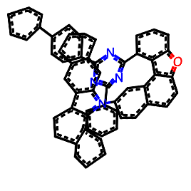 c1ccc(-c2ccc(-c3nc(-c4ccccc4)nc(-c4cccc5oc6ccc7ccc(-n8c9cc%10ccccc%10cc9c9ccc%10ccccc%10c98)cc7c6c45)n3)cc2)cc1